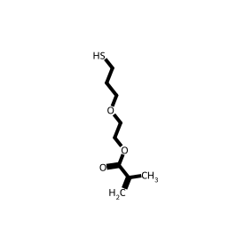 C=C(C)C(=O)OCCOCCCS